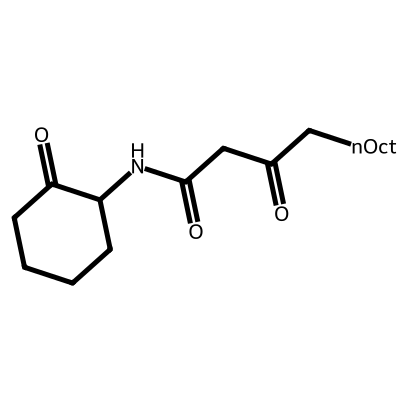 CCCCCCCCCC(=O)CC(=O)NC1CCCCC1=O